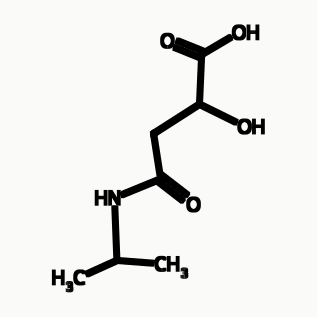 CC(C)NC(=O)CC(O)C(=O)O